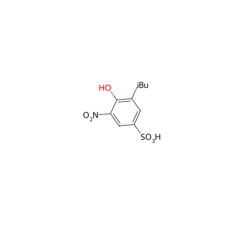 CCC(C)c1cc(S(=O)(=O)O)cc([N+](=O)[O-])c1O